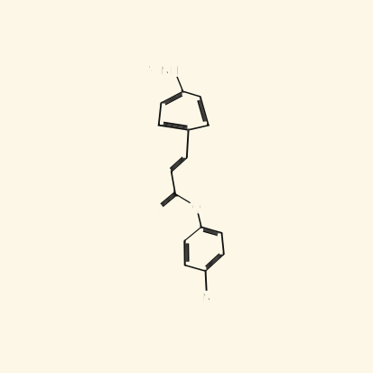 CC(=O)Nc1ccc(C=CC(=O)Oc2ccc([N+](=O)[O-])cc2)cc1